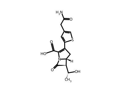 C[C@@H](O)[C@H]1C(=O)N2C(C(=O)O)=C(c3cc(CC(N)=O)cs3)C[C@H]12